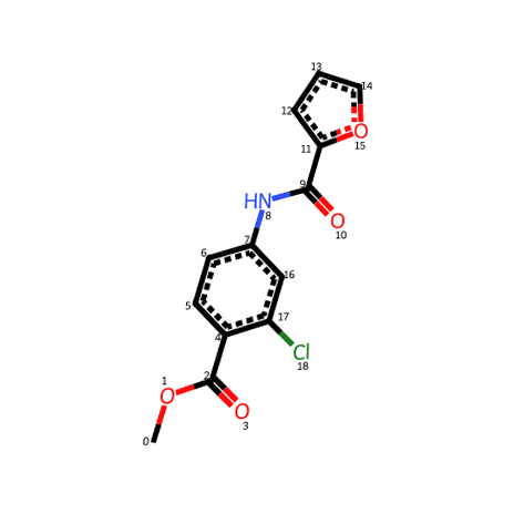 COC(=O)c1ccc(NC(=O)c2ccco2)cc1Cl